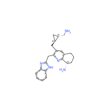 NC[C@H]1C[C@@H]1Cc1cc2c(nc1Cc1nc3ccccc3[nH]1)[C@@H](N)CCC2